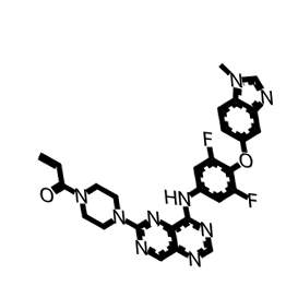 C=CC(=O)N1CCN(c2ncc3ncnc(Nc4cc(F)c(Oc5ccc6c(c5)ncn6C)c(F)c4)c3n2)CC1